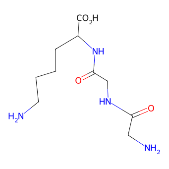 NCCCCC(NC(=O)CNC(=O)CN)C(=O)O